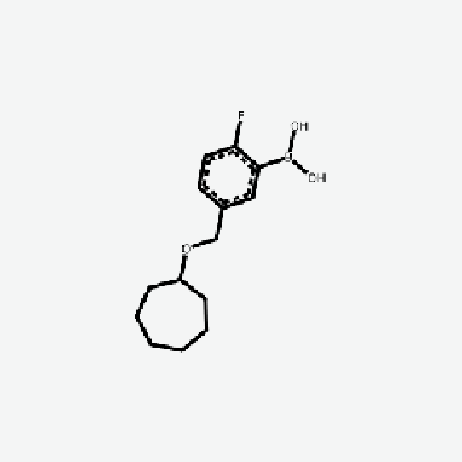 OB(O)c1cc(COC2CCCCCC2)ccc1F